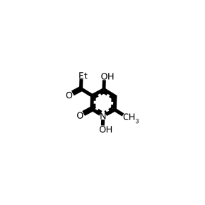 CCC(=O)c1c(O)cc(C)n(O)c1=O